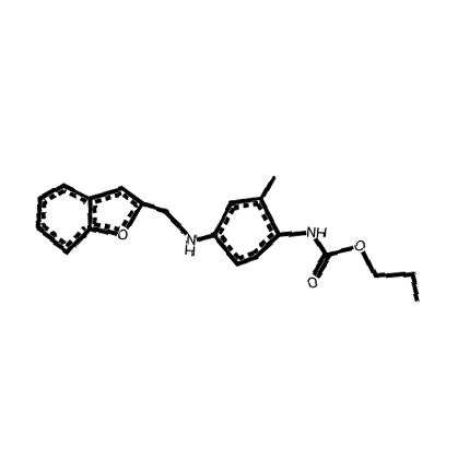 CCCOC(=O)Nc1ccc(NCc2cc3ccccc3o2)cc1C